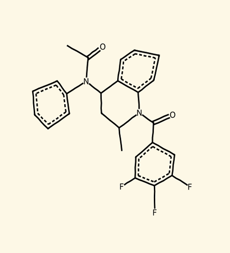 CC(=O)N(c1ccccc1)C1CC(C)N(C(=O)c2cc(F)c(F)c(F)c2)c2ccccc21